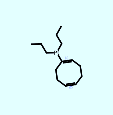 CC[CH2][Pt]([CH2]CC)/[C]1=C/CC/C=C\CC1